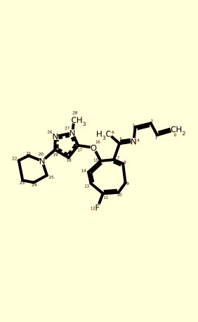 C=C\C=C/N=C(C)/C1=C/C/C=C(/F)C=C=C1Oc1cc(N2CCCCC2)nn1C